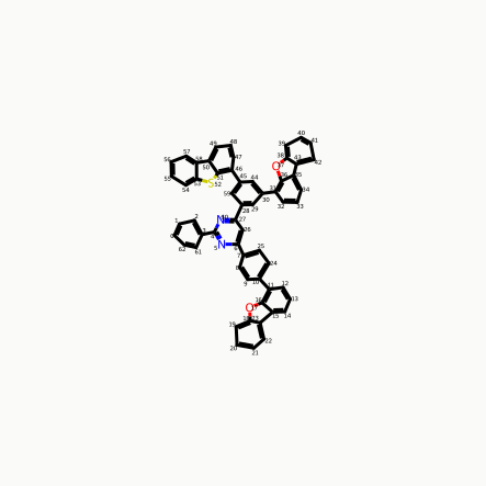 c1ccc(-c2nc(-c3ccc(-c4cccc5c4oc4ccccc45)cc3)cc(-c3cc(-c4cccc5c4oc4ccccc45)cc(-c4cccc5c4sc4ccccc45)c3)n2)cc1